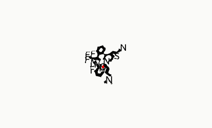 CN(C)C/C=C/C(=O)N1Cc2sc(C#N)cc2[C@H](c2ccccc2-c2cn(-c3ncccc3F)nc2C(F)(F)F)C1